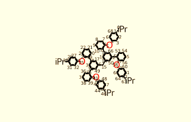 CC(C)c1ccc(Oc2ccccc2-c2cc(Cc3cc(-c4ccccc4Oc4ccc(C(C)C)cc4)cc(-c4ccccc4Oc4ccc(C(C)C)cc4)c3)cc(-c3ccccc3Oc3ccc(C(C)C)cc3)c2)cc1